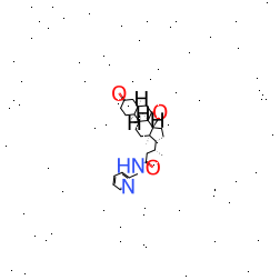 C[C@H](CC(=O)NCc1ccccn1)[C@H]1CC[C@H]2[C@@H]3C(=O)C[C@@H]4CC(=O)CC[C@]4(C)[C@H]3CC[C@]12C